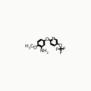 COc1ccc(Oc2ccc(OC(F)(F)F)cn2)cc1N